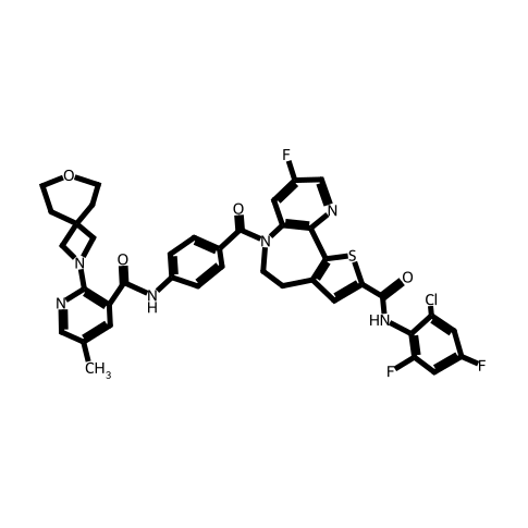 Cc1cnc(N2CC3(CCOCC3)C2)c(C(=O)Nc2ccc(C(=O)N3CCc4cc(C(=O)Nc5c(F)cc(F)cc5Cl)sc4-c4ncc(F)cc43)cc2)c1